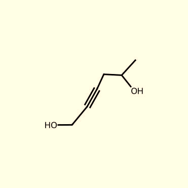 CC(O)CC#CCO